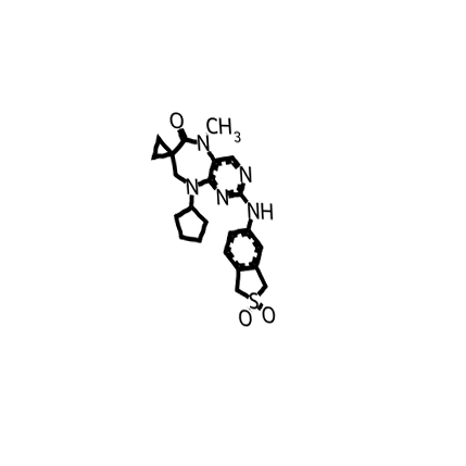 CN1C(=O)C2(CC2)CN(C2CCCC2)c2nc(Nc3ccc4c(c3)CS(=O)(=O)C4)ncc21